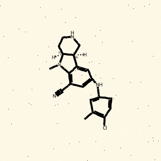 Cc1cc(Nc2cc(C#N)c3c(c2)[C@@H]2CNCC[C@@H]2N3C)ccc1Cl